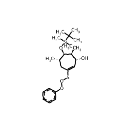 C[C@@H]1[C@H](O[Si](C)(C)C(C)(C)C)[C@@H](C)CC(SOOc2ccccc2)=C[C@H]1O